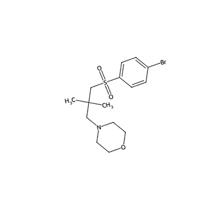 CC(C)(CN1CCOCC1)CS(=O)(=O)c1ccc(Br)cc1